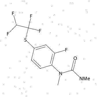 CNC(=O)N(C)c1ccc(SC(F)(F)C(F)F)cc1F